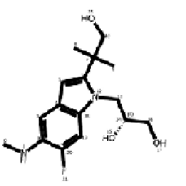 CNc1cc2cc(C(C)(C)CO)n(C[C@@H](O)CO)c2cc1F